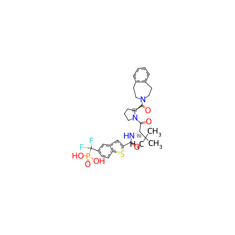 CC(C)(C)[C@H](NC(=O)c1cc2cc(C(F)(F)P(=O)(O)O)ccc2s1)C(=O)N1CCC[C@H]1C(=O)N1CCc2ccccc2CC1